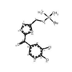 CC(C)(C)[Si](C)(C)OCc1nnc(C(=O)c2cnc(Cl)c(Cl)c2)o1